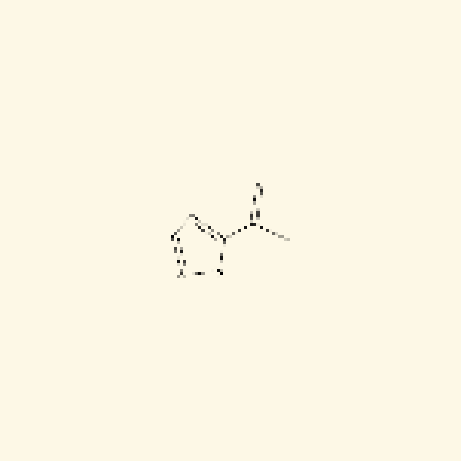 C=C(C)c1cc[c]s1